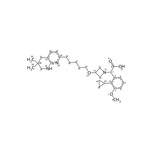 COc1cccc(C(C(=O)O)N2CC(OCCCCCc3ccc4c(n3)NCC(C)(C)C4)C2)c1C1CC1